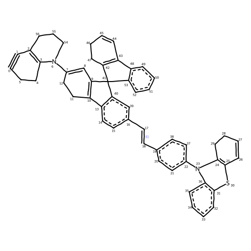 C1#CC2=C(CC1)N(C1=CC3=C(CC1)c1ccc(/C=C/c4ccc(N5C6=C(C=CCC6)Sc6ccccc65)cc4)cc1C31C3=C(C=CCC3)c3ccccc31)CCC2